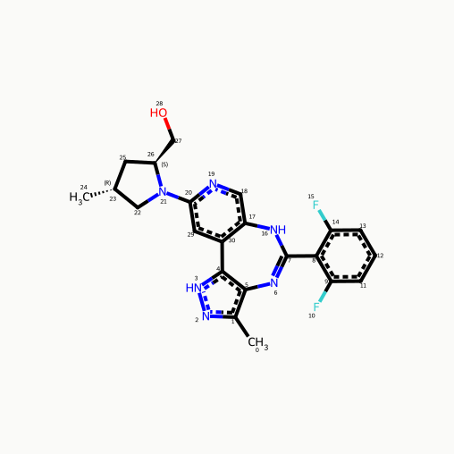 Cc1n[nH]c2c1N=C(c1c(F)cccc1F)Nc1cnc(N3C[C@H](C)C[C@H]3CO)cc1-2